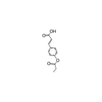 CCC(=O)Oc1ccc(C=CC(=O)O)cc1